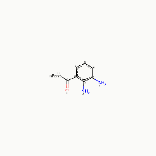 CCCCCC(=O)c1cccc(N)c1N